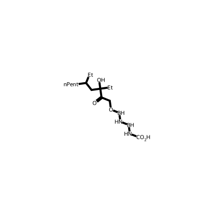 CCCCCC(CC)CC(O)(CC)C(=O)COBNBNC(=O)O